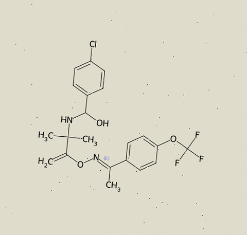 C=C(O/N=C(\C)c1ccc(OC(F)(F)F)cc1)C(C)(C)NC(O)c1ccc(Cl)cc1